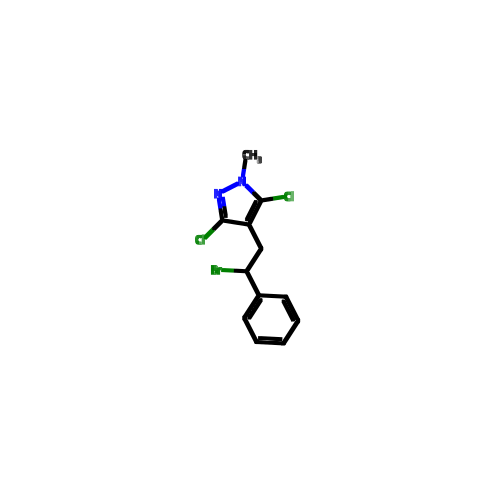 Cn1nc(Cl)c(CC(Br)c2ccccc2)c1Cl